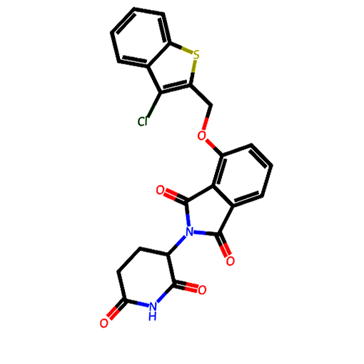 O=C1CCC(N2C(=O)c3cccc(OCc4sc5ccccc5c4Cl)c3C2=O)C(=O)N1